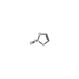 O=[PH]1OC=CO1